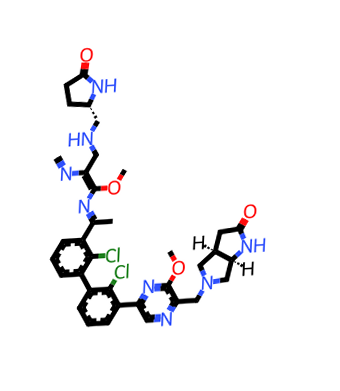 C=N/C(CNC[C@@H]1CCC(=O)N1)=C(\N=C(/C)c1cccc(-c2cccc(-c3cnc(CN4C[C@H]5CC(=O)N[C@H]5C4)c(OC)n3)c2Cl)c1Cl)OC